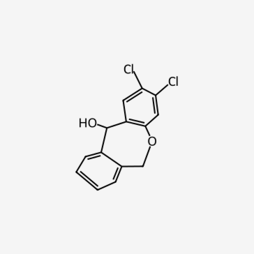 OC1c2ccccc2COc2cc(Cl)c(Cl)cc21